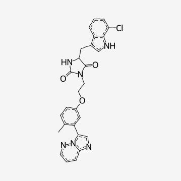 Cc1ccc(OCCN2C(=O)NC(Cc3c[nH]c4c(Cl)cccc34)C2=O)cc1-c1cnc2cccnn12